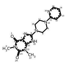 Cn1c(=O)c2nc(N3CCN(c4ccccn4)CC3)[nH]c2n(C)c1=O